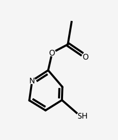 CC(=O)Oc1cc(S)ccn1